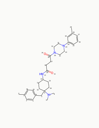 Cc1ccc(CC2(N(C)C)CCC(NC(=O)CCC(=O)N3CCN(c4cccc(C)c4)CC3)CC2)cc1